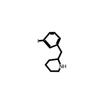 Ic1cccc(CC2CCCCN2)c1